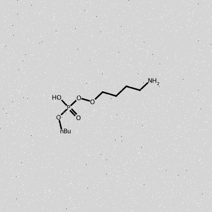 CCCCOP(=O)(O)OOCCCCN